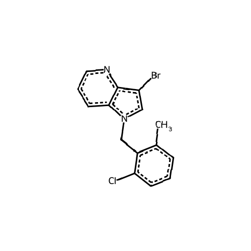 Cc1cccc(Cl)c1Cn1cc(Br)c2ncccc21